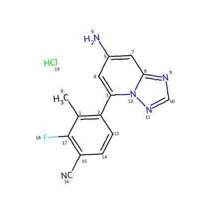 Cc1c(-c2cc(N)cc3ncnn23)ccc(C#N)c1F.Cl